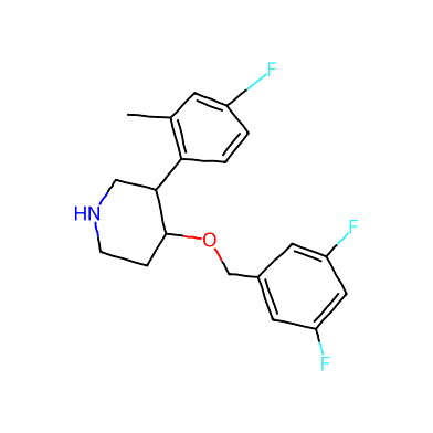 Cc1cc(F)ccc1C1CNCCC1OCc1cc(F)cc(F)c1